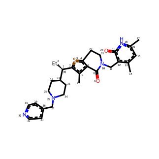 CC[C@@H](c1sc2c(c1C)C(=O)N(Cc1c(C)cc(C)[nH]c1=O)CC2)C1CCN(Cc2ccncc2)CC1